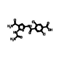 NC(=O)Nc1sc(NC(=O)c2cc(Cl)c(C(=O)O)cc2Cl)cc1C(N)=O